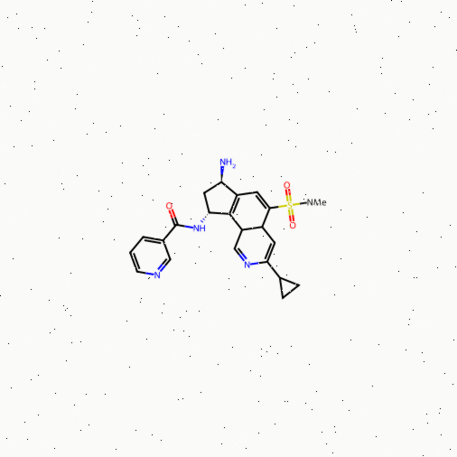 CNS(=O)(=O)C1=CC2=C(C3C=NC(C4CC4)=CC13)[C@H](NC(=O)c1cccnc1)C[C@H]2N